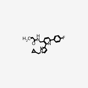 C=CC(=O)NCc1ccc(-c2ccc(F)cc2)nc1-c1ccn(CC2CC2)n1